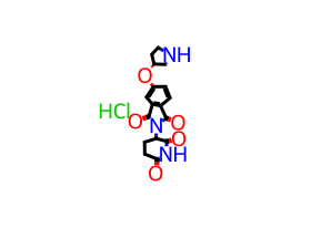 Cl.O=C1CCC(N2C(=O)c3ccc(O[C@H]4CCNC4)cc3C2=O)C(=O)N1